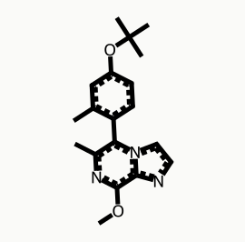 COc1nc(C)c(-c2ccc(OC(C)(C)C)cc2C)n2ccnc12